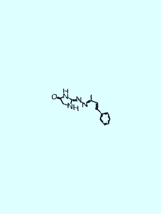 CC(C=Cc1ccccc1)=NN=C1NCC(=O)N1